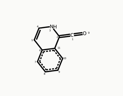 O=C=C1NC=Cc2ccccc21